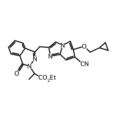 CCOC(=O)C(C)n1nc(Cc2cn3cc(OCC4CC4)c(C#N)cc3n2)c2ccccc2c1=O